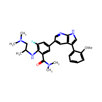 COc1ccccc1-c1c[nH]c2ncc(-c3cc(F)c(NC(C)CN(C)C)c(C(=O)N(C)C)c3)cc12